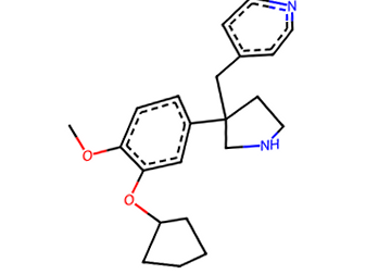 COc1ccc(C2(Cc3ccncc3)CCNC2)cc1OC1CCCC1